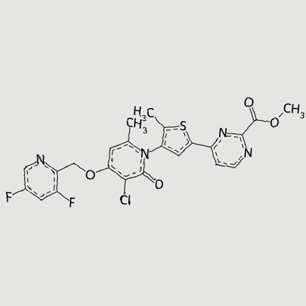 COC(=O)c1nccc(-c2cc(-n3c(C)cc(OCc4ncc(F)cc4F)c(Cl)c3=O)c(C)s2)n1